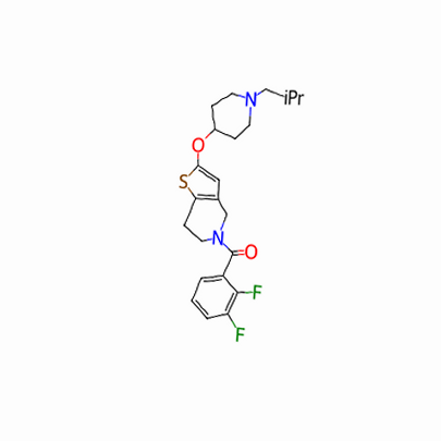 CC(C)CN1CCC(Oc2cc3c(s2)CCN(C(=O)c2cccc(F)c2F)C3)CC1